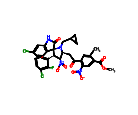 COC(=O)c1cc([N+](=O)[O-])c(C(=O)C[C@H]2[C@@H]([N+](=O)[O-])[C@H](c3cccc(Cl)c3F)[C@]3(C(=O)Nc4cc(Cl)ccc43)N2CC2CC2)cc1C